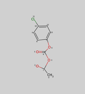 CC([O])OC(=O)Oc1ccc(Cl)cc1